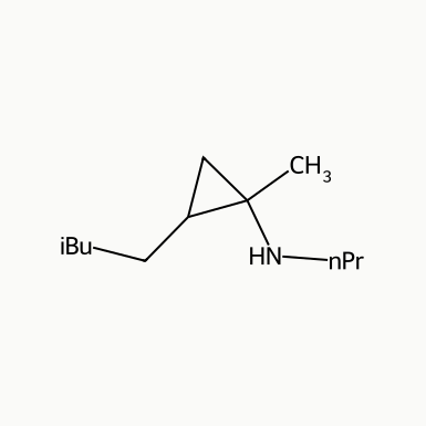 CCCNC1(C)CC1CC(C)CC